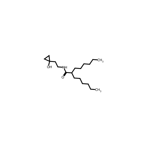 CCCCCCC(CCCCCC)C(=O)NCCC1(O)CC1